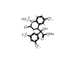 CCC1CC(C(O)(C(=O)OC)c2cc(C(F)(F)F)cc(C(F)(F)F)c2)c2cc(C(F)(F)F)ccc2N1C(=O)O